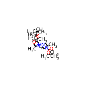 C[C@@H]1CO[C@@H](C(C)(C)O[SiH2]C(C)(C)C)CN1C[C@H]1CN(C(=O)OC(C)(C)C)[C@H](C)CN1